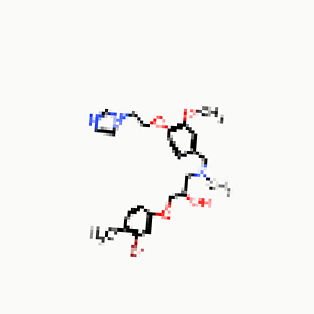 COc1cc(CN(C)CC(O)COc2ccc(C)c(Br)c2)ccc1OCCn1ccnc1